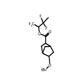 CC(C)(C)OC1CC2CC1CC2C(=O)OC(C(C)(F)F)C(F)(F)F